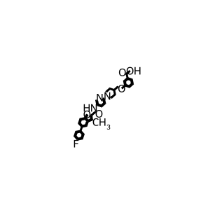 Cc1c(C(=O)Nc2ccc(N3CCC(COc4cccc(C(=O)O)c4)CC3)nc2)oc2ccc(-c3ccc(F)cc3)cc12